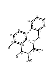 CC(=O)C(C(=O)OCc1ccccc1)C(C)c1ccccc1C